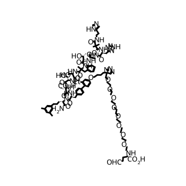 CCc1cc(OCCCCC2(COCCOCCOCCOCCOCCOCCOCCOCCNC(CCC=O)C(=O)O)C=NN=N2)ccc1-c1ccc(C[C@H](NC(=O)[C@H](CC(=O)O)NC(=O)[C@H](CO)NC(=O)[C@@H](NC(=O)C(C)(Cc2ccccc2F)NC(=O)[C@@H](NC(=O)CNC(=O)[C@H](Cc2nn[nH]n2)NC(=O)C(C)(C)C(=O)NCCc2cnc[nH]2)[C@@H](C)O)[C@@H](C)O)C(=O)N[C@@H](CCCc2cc(C)cc(C)c2)C(N)=O)cc1